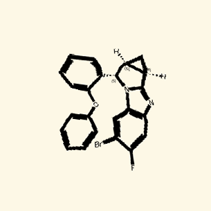 Fc1cc2nc3n(c2cc1Br)[C@H](c1ccccc1Oc1ccccc1)[C@H]1C[C@@H]31